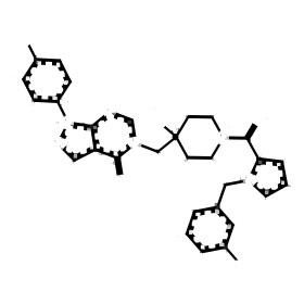 O=C(c1cccn1Cc1cccc(F)c1)N1CCC(O)(Cn2cnc3c(cnn3-c3ccc(F)cc3)c2=O)CC1